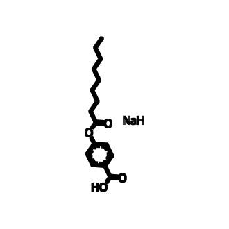 CCCCCCCCC(=O)Oc1ccc(C(=O)O)cc1.[NaH]